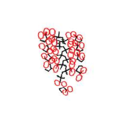 CCC(C)(CC(C)(CC(C)(CC(C)(CC(C)(CC(C)(CC(C)(CC(C)(CC(C)(C)C(=O)OC1CCOC1=O)C(=O)OC1CCOC1=O)C(=O)OC1CCOC1=O)C(=O)OC1CCOC1=O)C(=O)OC1CCOC1=O)C(=O)OC1CCOC1=O)C(=O)OC1CCOC1=O)C(=O)OC1CCOC1=O)C(=O)OC1CCOC1=O